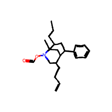 C=CCCC1CN(OC=O)C2(C)CC1C(c1ccccc1)CC2CCC